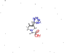 CC(C(=O)O)N1CCC=C(c2nnn[nH]2)C1